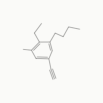 C#Cc1cc(C)c(CC)c(CCCC)c1